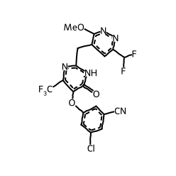 COc1nnc(C(F)F)cc1Cc1nc(C(F)(F)F)c(Oc2cc(Cl)cc(C#N)c2)c(=O)[nH]1